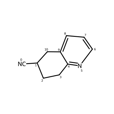 N#CC1CCc2ncccc2C1